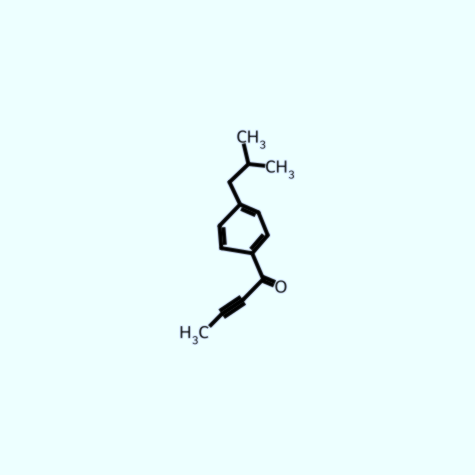 CC#CC(=O)c1ccc(CC(C)C)cc1